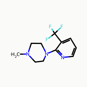 [CH2]N1CCN(c2ncccc2C(F)(F)F)CC1